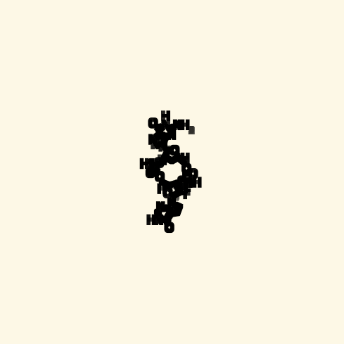 Nc1nc2c(nnn2[C@@H]2O[C@@H]3COP(=O)(S)O[C@H]4[C@H](F)[C@H](n5ccc6c(=O)[nH]cnc65)O[C@@H]4COP(=O)(S)O[C@@H]2C3)c(=O)[nH]1